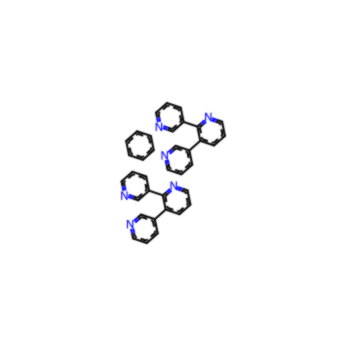 c1ccccc1.c1cncc(-c2cccnc2-c2cccnc2)c1.c1cncc(-c2cccnc2-c2cccnc2)c1